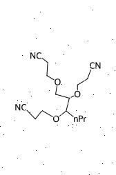 CCCC(OCCC#N)C(COCCC#N)OCCC#N